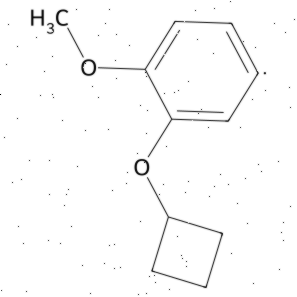 COc1cc[c]cc1OC1CCC1